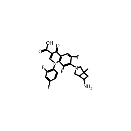 CC12CC(N)C1CN(c1c(F)cc3c(=O)c(C(=O)O)cn(-c4ccc(F)cc4F)c3c1F)C2